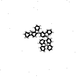 c1ccc([Si](c2ccccc2)(c2ccccc2)c2cccc(-n3c4ccccc4c4cc(-n5c6ccccc6c6c7sc8ccccc8c7ccc65)ccc43)c2)cc1